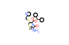 NC1C(=O)N2C(C(=O)OC(c3ccccc3)c3ccccc3)=C(S/C=C\c3ccccn3)CS[C@@H]12